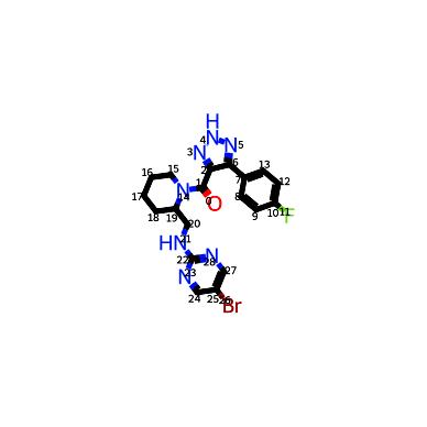 O=C(c1n[nH]nc1-c1ccc(F)cc1)N1CCCCC1CNc1ncc(Br)cn1